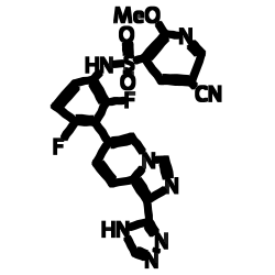 COc1ncc(C#N)cc1S(=O)(=O)Nc1ccc(F)c(-c2ccc3c(-c4nnc[nH]4)ncn3c2)c1F